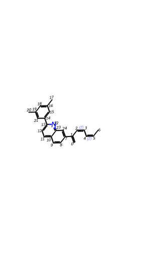 C=C(/C=C\C=C/C)c1ccc2ccc(-c3cc(C)cc(C)c3)nc2c1